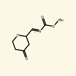 CC(C)(C)OC(=O)/N=C/C1CC(=O)CCO1